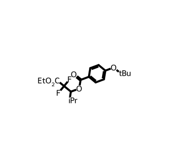 CCOC(=O)C(F)(F)C(OC(=O)c1ccc(OC(C)(C)C)cc1)C(C)C